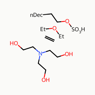 C=C.CCCCCCCCCCCCOS(=O)(=O)O.CCOCC.OCCN(CCO)CCO